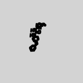 CCn1cnc(NC(=O)NC2CCN(Cc3ccccc3)CC2)n1